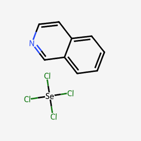 Cl[Se](Cl)(Cl)Cl.c1ccc2cnccc2c1